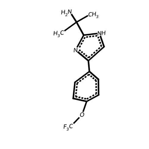 CC(C)(N)c1nc(-c2ccc(OC(F)(F)F)cc2)c[nH]1